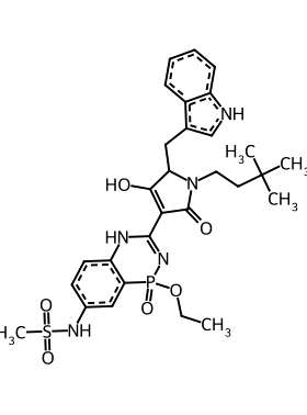 CCOP1(=O)N=C(C2=C(O)C(Cc3c[nH]c4ccccc34)N(CCC(C)(C)C)C2=O)Nc2ccc(NS(C)(=O)=O)cc21